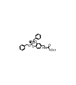 CCCCCCCCC(=O)NCc1ccc(OP(=O)(OCc2ccccc2)OCc2ccccc2)c(OC)c1